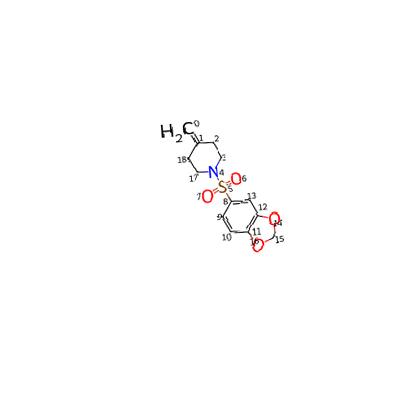 C=C1CCN(S(=O)(=O)c2ccc3c(c2)OCO3)CC1